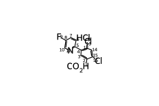 Cl.O=C(O)c1cc(-c2ccc(F)cn2)c(Cl)cc1Cl